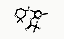 Cn1cc(NC2CCOC(C)(C)C2)c(OC(=O)C(F)(F)F)n1